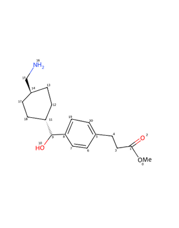 COC(=O)CCc1ccc(C(O)[C@H]2CC[C@H](CN)CC2)cc1